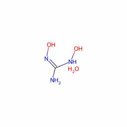 NC(=NO)NO.O